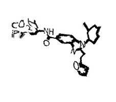 CC(C)C[C@H](NC(=O)c1ccc2c(c1)nc(Cc1ccco1)n2C1CCCCC1C)C(=O)O